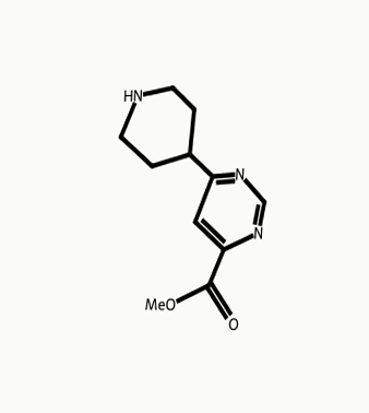 COC(=O)c1cc(C2CCNCC2)ncn1